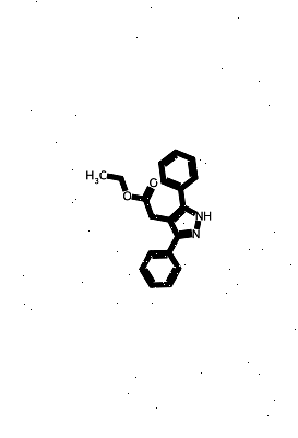 CCOC(=O)Cc1c(-c2ccccc2)n[nH]c1-c1ccccc1